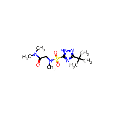 CN(C)C(=O)CN(C)S(=O)(=O)c1nc(C(C)(C)C)n[nH]1